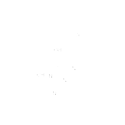 COc1ccc(C2(c3c(O)cc(C)cc3O)N=C3N=CC=C4c5ccccc5N=C2N43)cc1